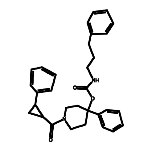 O=C(NCCCc1ccccc1)OC1(c2ccccc2)CCN(C(=O)C2CC2c2ccccc2)CC1